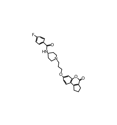 O=C(NC1CCN(CCCOc2ccc3c4c(c(=O)oc3c2)CCC4)CC1)c1ccc(F)cc1